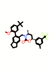 COc1ccc(C(C)(C)C)cc1-c1cc2c(cc1CN1C(=O)O[C@H](c3cc(C)cc(C(F)(F)F)c3)C[C@@H]1C)CCC2